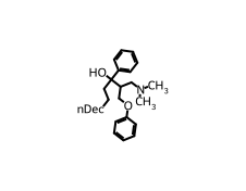 CCCCCCCCCCCCC(O)(c1ccccc1)C(COc1ccccc1)CN(C)C